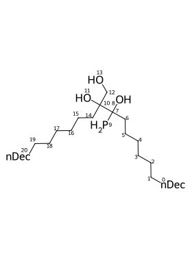 CCCCCCCCCCCCCCCCC(O)(P)C(O)(CO)CCCCCCCCCCCCCCCC